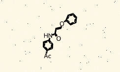 CC(=O)c1ccc(NC(=O)C=COc2ccccc2)cc1